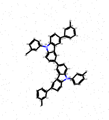 Cc1cccc(-c2ccc3c(c2)c2cc(-c4ccc5c(c4)c4cc(-c6cccc(C)c6)ccc4n5-c4cccc(C)c4)ccc2n3-c2cccc(C)c2)c1